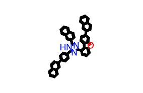 c1ccc2cc(-c3ccc(C4=NC(c5cccc6oc7cc(-c8ccc9ccccc9c8)ccc7c56)=NC(c5ccc6ccccc6c5)N4)cc3)ccc2c1